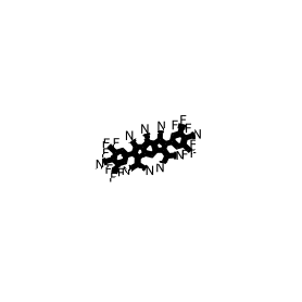 N#CC(C#N)=C1C(c2cc(C(F)(F)F)c(C#N)c(C(F)(F)F)c2)=C(C#N)c2c1cc1c(c2C#N)C(C#N)=C(c2cc(C(F)(F)F)c(C#N)c(C(F)(F)F)c2)C1=C(C#N)C#N